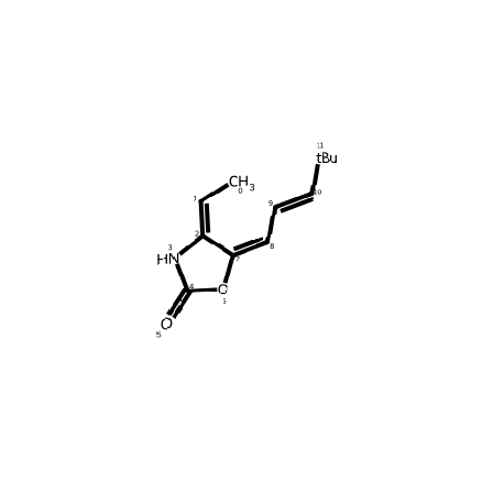 C/C=c1/[nH]c(=O)o/c1=C/C=C/C(C)(C)C